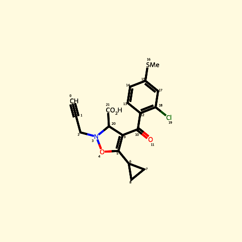 C#CCN1OC(C2CC2)=C(C(=O)c2ccc(SC)cc2Cl)C1C(=O)O